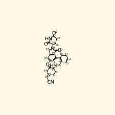 N#CCN1CC[C@@H](NCc2ccccc2)[C@H](Oc2ccc3c(c2)CN(C2CCC(=O)NC2=O)C3=O)C1